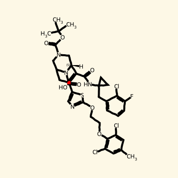 Cc1cc(Cl)c(OCCOc2ncc(C3=C(C(=O)NC4(Cc5cccc(F)c5Cl)CC4)[C@H]4CN(C(=O)OC(C)(C)C)CC(C3)N4C(=O)O)s2)c(Cl)c1